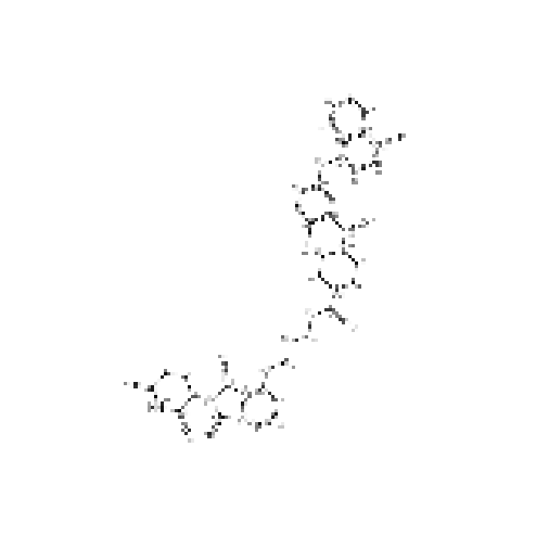 O=C1CCC(N2C(=O)c3cccc(SCCCCC(=O)N4CCN(C(=O)c5cc(Cc6n[nH]c(=O)c7ccccc67)ccc5F)CC4)c3C2=O)C(=O)N1